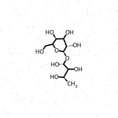 C[C@@H](O)C(O)[C@H](O)O[C@H]1OC(CO)[C@@H](O)C(O)[C@@H]1O